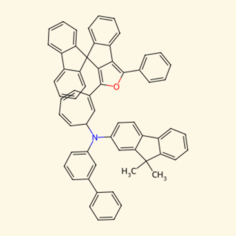 CC1(C)c2ccccc2-c2ccc(N(c3cccc(-c4ccccc4)c3)C3C=CC=CC(c4oc(-c5ccccc5)c5c4C4(c6ccccc6-c6ccccc64)c4ccccc4-5)=C3)cc21